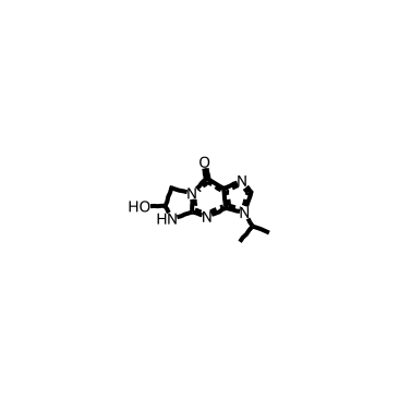 CC(C)n1cnc2c(=O)n3c(nc21)NC(O)C3